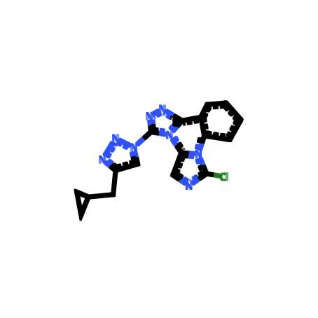 Clc1ncc2n1c1ccccc1c1nnc(-n3cc(CC4CC4)nn3)n12